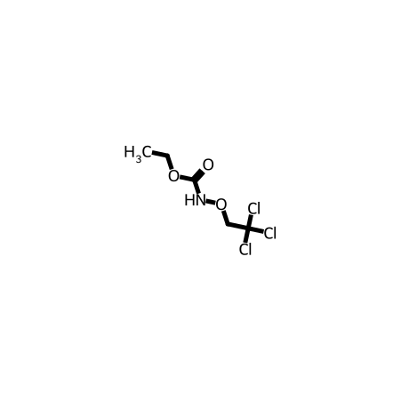 CCOC(=O)NOCC(Cl)(Cl)Cl